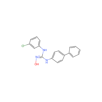 O/N=C(\Nc1ccc(-c2ccccc2)cc1)Nc1cccc(Cl)c1